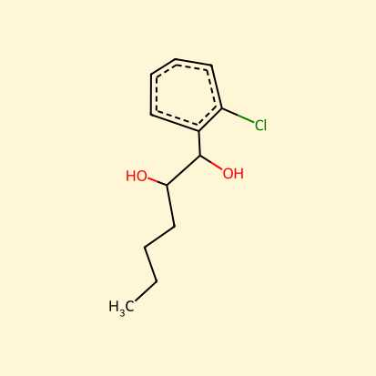 CCCCC(O)C(O)c1ccccc1Cl